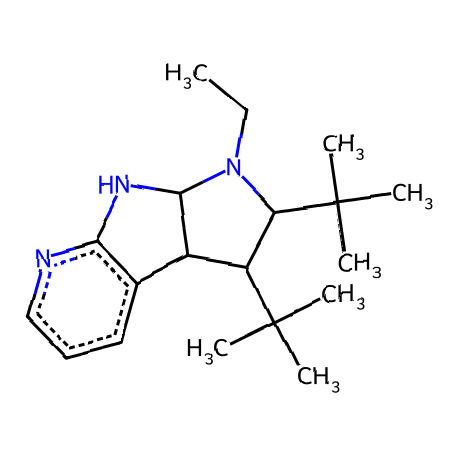 CCN1C2Nc3ncccc3C2C(C(C)(C)C)C1C(C)(C)C